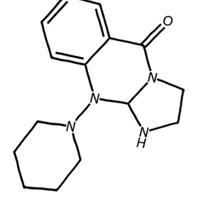 O=C1c2ccccc2N(N2CCCCC2)C2NCCN12